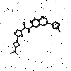 CN(C)C1CN(c2ncc(C(=O)Nc3cc4cc(-c5cnn(C)c5)cnc4cn3)s2)C1